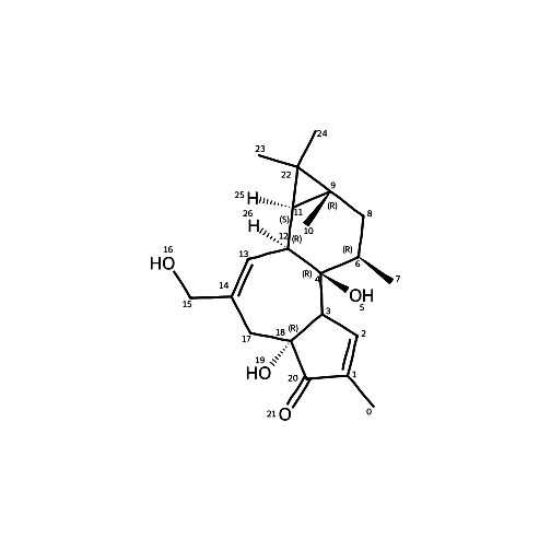 CC1=CC2[C@@]3(O)[C@H](C)C[C@]4(C)[C@@H]([C@@H]3C=C(CO)C[C@]2(O)C1=O)C4(C)C